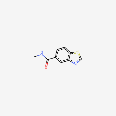 CNC(=O)c1ccc2scnc2c1